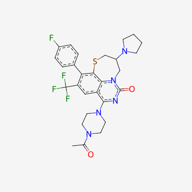 CC(=O)N1CCN(c2nc(=O)n3c4c(c(-c5ccc(F)cc5)c(C(F)(F)F)cc24)SCC(N2CCCC2)C3)CC1